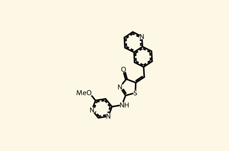 COc1cc(NC2=NC(=O)C(=Cc3ccc4ncccc4c3)S2)ncn1